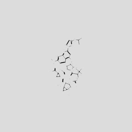 C=C[C@@H]1C[C@]1(NC(=O)[C@@H]1C[C@@H](Oc2cc(-n3ccc(NC(C)C)n3)nc3cc(OC)ccc23)CN1C(=O)C(NC(=O)O[C@@H]1C[C@@H]2C[C@@H]2C1)C(C)(C)C)C(=O)O